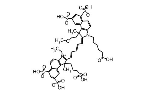 CC[N+]1=C(/C=C/C=C/C=C2/N(CCCCCC(=O)O)c3ccc4c(S(=O)(=O)O)cc(S(=O)(=O)O)cc4c3C2(C)CCOC)C(C)(CCCS(=O)(=O)O)c2c1ccc1c(S(=O)(=O)O)cc(S(=O)(=O)O)cc21